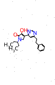 CCC(CC)N1CC(c2cc(CCc3ccccc3)ncn2)=C(O)C1=O